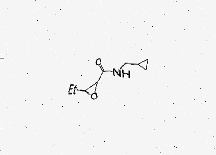 CCC1OC1C(=O)NCC1CC1